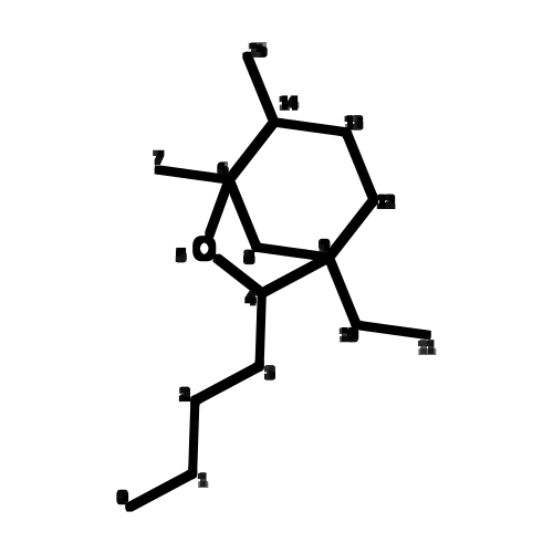 CCCCC1OC2(C)CC1(CC)CCC2C